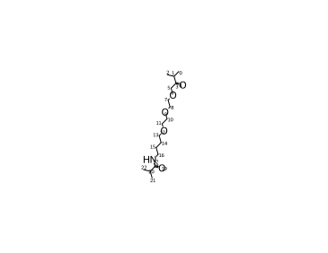 CC(C)C(=O)COCCOCCOCCCCNC(=O)C(C)C